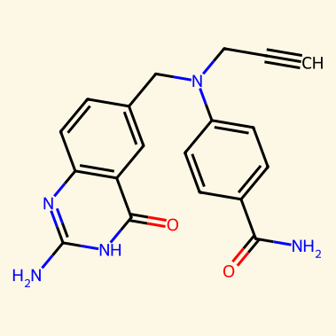 C#CCN(Cc1ccc2nc(N)[nH]c(=O)c2c1)c1ccc(C(N)=O)cc1